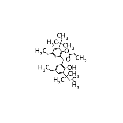 C=CC(=O)Oc1c(Cc2cc(CC)cc(C(C)(C)CC)c2O)cc(CC)cc1C(C)(C)CC